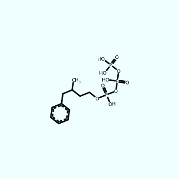 CC(CCOP(=O)(O)OP(=O)(O)OP(=O)(O)O)Cc1ccccc1